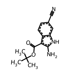 CC(C)(C)OC(=O)c1c(N)[nH]c2cc(C#N)ccc12